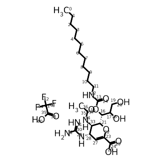 CCCCCCCCCCCCNC(=O)OC(C(O)CO)[C@@H]1OC(C(=O)O)=C[C@H](NC(=N)N)[C@H]1NC(C)=O.O=C(O)C(F)(F)F